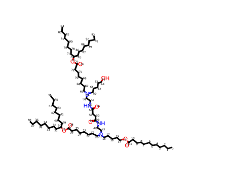 CCCCCCCCCCCC(=O)OCCCCCN(CCCCCCCC(=O)OC(CCCCCCCC)CCCCCCCC)CCNC(=O)CCC(=O)NCCN(CCCCCO)CCCCCCCC(=O)OC(CCCCCCCC)CCCCCCCC